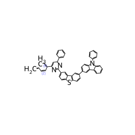 C=C/C=C\C(=C/C)c1cc(-c2ccccc2)nc(-c2ccc3sc4ccc(-c5ccc6c(c5)c5ccccc5n6-c5ccccc5)cc4c3c2)n1